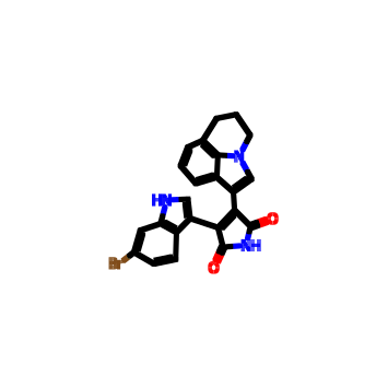 O=C1NC(=O)C(c2cn3c4c(cccc24)CCC3)=C1c1c[nH]c2cc(Br)ccc12